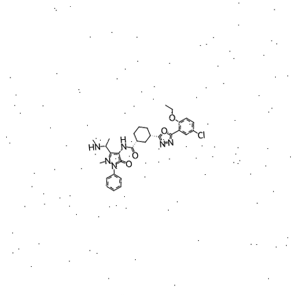 CCOc1ccc(Cl)cc1-c1nnc([C@H]2CCC[C@@H](C(=O)Nc3c(C(C)NC)n(C)n(-c4ccccc4)c3=O)C2)o1